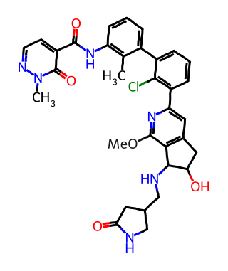 COc1nc(-c2cccc(-c3cccc(NC(=O)c4ccnn(C)c4=O)c3C)c2Cl)cc2c1C(NCC1CNC(=O)C1)C(O)C2